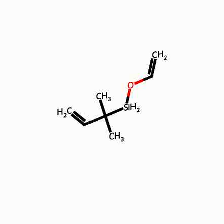 C=CO[SiH2]C(C)(C)C=C